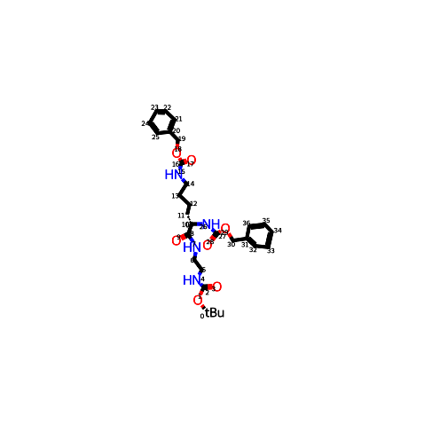 CC(C)(C)OC(=O)NCCNC(=O)[C@H](CCCCNC(=O)OCc1ccccc1)NC(=O)OCc1ccccc1